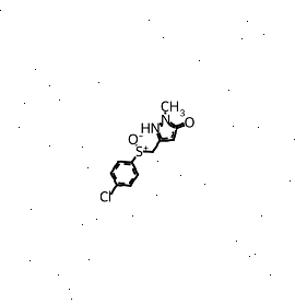 Cn1[nH]c(C[S+]([O-])c2ccc(Cl)cc2)cc1=O